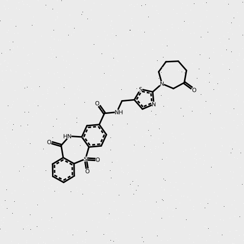 O=C1CCCCN(c2ncc(CNC(=O)c3ccc4c(c3)NC(=O)c3ccccc3S4(=O)=O)s2)C1